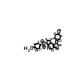 Cc1ccc(S(=O)(=O)n2ccc3c4c(cnc32)ncn4N2CCC(=O)CC2)cc1